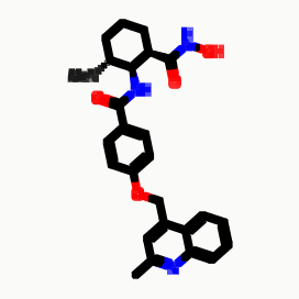 CN[C@@H]1CCC[C@@H](C(=O)NO)[C@H]1NC(=O)c1ccc(OCc2cc(C)nc3ccccc23)cc1